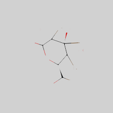 OC(Br)[C@H]1OC(O)[C@@](O)(Br)[C@](O)(Br)[C@@]1(O)Br